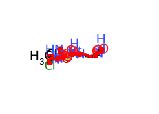 CC1(C)CCC(CN2CCN(c3ccc(C(=O)NS(=O)(=O)c4ccc(NCC5CCN(CCCCCCC#Cc6ccc7c(c6)C(=O)N(C6CCC(=O)NC6=O)C7)CC5)c([N+](=O)[O-])c4)c(Oc4cnc5[nH]ccc5c4)c3)CC2)=C(c2ccc(Cl)cc2)C1